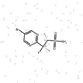 C[C@@H]([C@@](C)(F)c1ncc(Br)cn1)S(N)(=O)=O